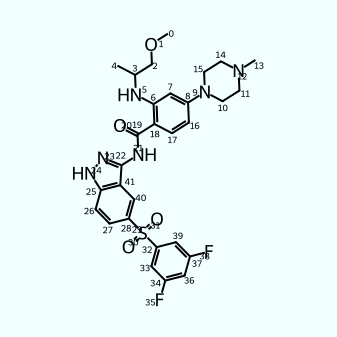 COCC(C)Nc1cc(N2CCN(C)CC2)ccc1C(=O)Nc1n[nH]c2ccc(S(=O)(=O)c3cc(F)cc(F)c3)cc12